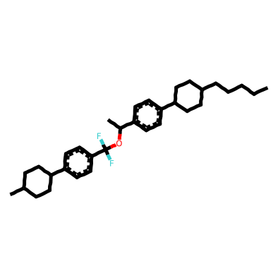 CCCCCC1CCC(c2ccc(C(C)OC(F)(F)c3ccc(C4CCC(C)CC4)cc3)cc2)CC1